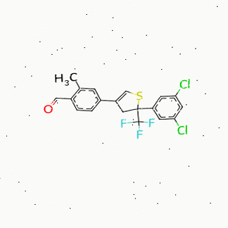 Cc1cc(C2=CSC(c3cc(Cl)cc(Cl)c3)(C(F)(F)F)C2)ccc1C=O